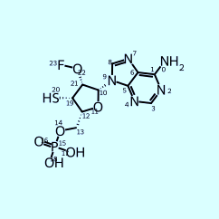 Nc1ncnc2c1ncn2[C@@H]1O[C@H](COP(=O)(O)O)[C@H](S)[C@@H]1OF